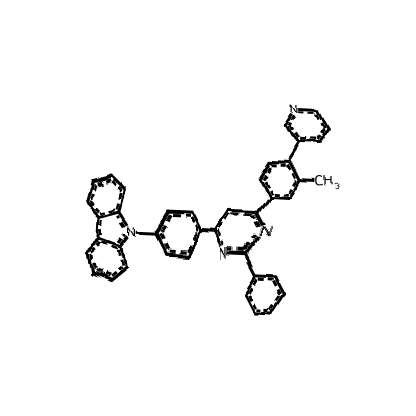 Cc1cc(-c2cc(-c3ccc(-n4c5ccccc5c5ccccc54)cc3)nc(-c3ccccc3)n2)ccc1-c1cccnc1